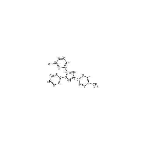 FC(F)(F)c1ccc(-c2nc(-c3ccncc3)c(-c3cccc(I)c3)[nH]2)cc1